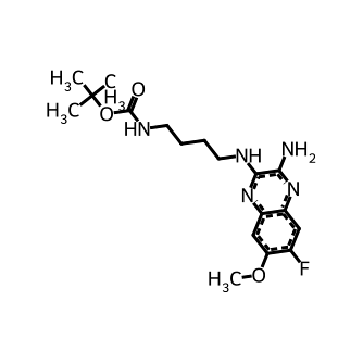 COc1cc2nc(NCCCCNC(=O)OC(C)(C)C)c(N)nc2cc1F